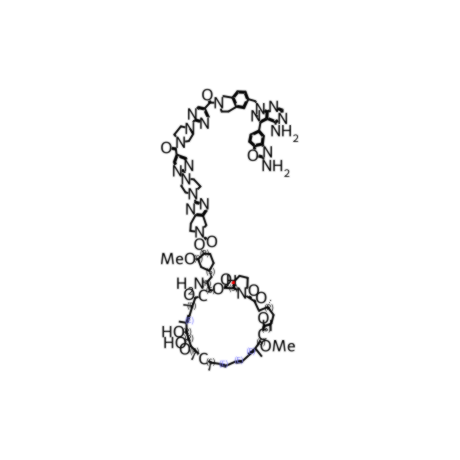 CO[C@H]1C[C@@H]2CC[C@@H](C)C(O2)C(=O)C(=O)N2CCCC[C@H]2C(=O)O[C@H]([C@H](N)C[C@@H]2CC[C@@H](OC(=O)N3CCc4nc(N5CCN(c6ncc(C(=O)N7CCN(c8ncc(C(=O)N9CCc%10cc(Cn%11nc(-c%12ccc%13oc(N)nc%13c%12)c%12c(N)ncnc%12%11)ccc%10C9)cn8)CC7)cn6)CC5)ncc4C3)[C@H](OC)C2)CC(=O)[C@H](C)/C=C(\C)[C@@H](O)[C@@H](O)C(=O)[C@H](C)C[C@H](C)/C=C/C=C/C=C/1C